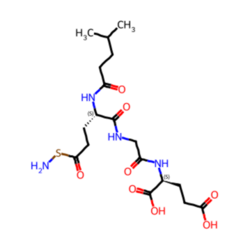 CC(C)CCC(=O)N[C@@H](CCC(=O)SN)C(=O)NCC(=O)N[C@@H](CCC(=O)O)C(=O)O